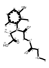 COCC(=O)SCC(=O)N(c1c(C)ccc(Br)c1C)[C@@H](C)C(=O)O